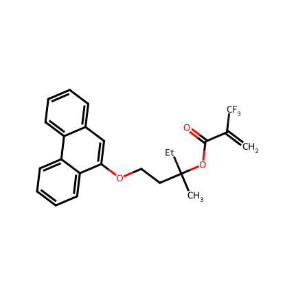 C=C(C(=O)OC(C)(CC)CCOc1cc2ccccc2c2ccccc12)C(F)(F)F